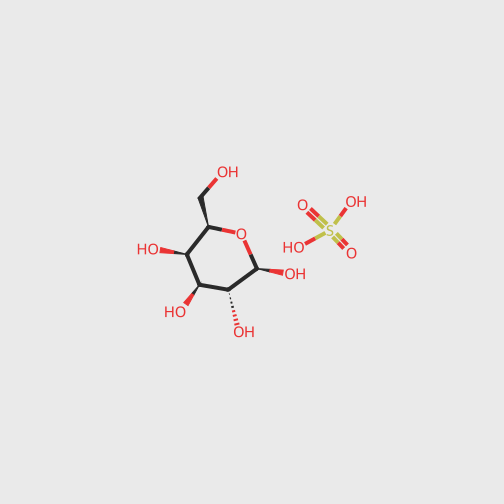 O=S(=O)(O)O.OC[C@H]1O[C@@H](O)[C@H](O)[C@@H](O)[C@H]1O